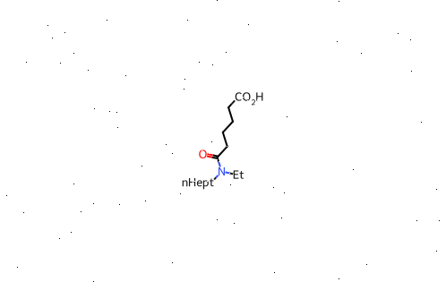 CCCCCCCN(CC)C(=O)CCCCC(=O)O